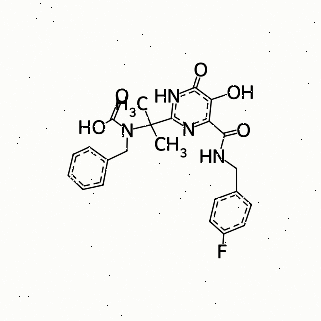 CC(C)(c1nc(C(=O)NCc2ccc(F)cc2)c(O)c(=O)[nH]1)N(Cc1ccccc1)C(=O)O